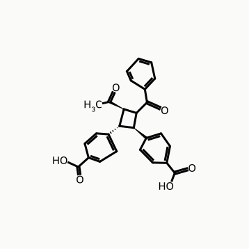 CC(=O)[C@H]1C(C(=O)c2ccccc2)[C@@H](c2ccc(C(=O)O)cc2)[C@@H]1c1ccc(C(=O)O)cc1